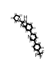 FC(F)(F)c1ccc(-c2ccc(-c3ccc4[nH]c(N5CCCC5)nc4c3)nc2)cc1